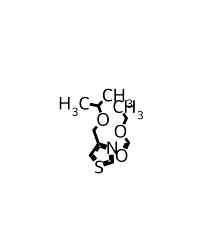 CC(C)OCc1cscn1.CCOC=O